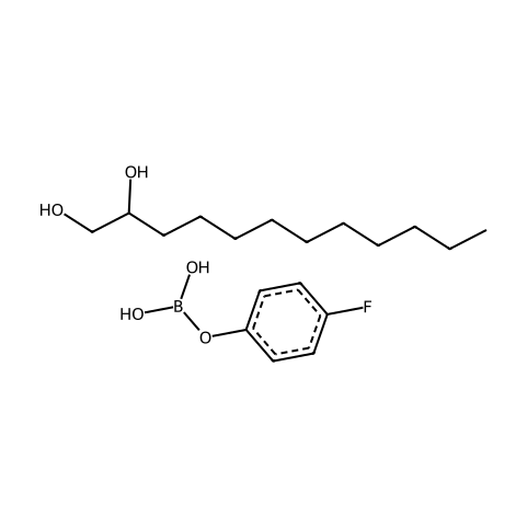 CCCCCCCCCCC(O)CO.OB(O)Oc1ccc(F)cc1